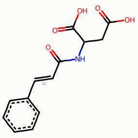 O=C(O)CC(NC(=O)/C=C/c1ccccc1)C(=O)O